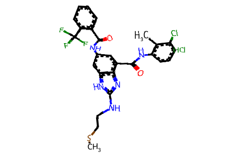 CSCCNc1nc2c(C(=O)Nc3cccc(Cl)c3C)cc(NC(=O)c3ccccc3C(F)(F)F)cc2[nH]1.Cl